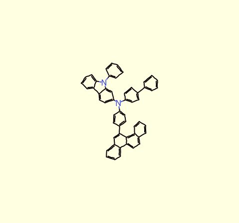 c1ccc(-c2ccc(N(c3ccc(-c4cc5ccccc5c5ccc6ccccc6c45)cc3)c3ccc4c5ccccc5n(-c5ccccc5)c4c3)cc2)cc1